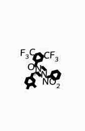 Cc1ccc(C[C@@H]2CN(C(c3ccccc3)[N+](=O)[O-])CCN2C(=O)c2cc(C(F)(F)F)cc(C(F)(F)F)c2)cc1C